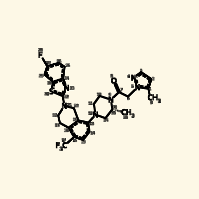 Cc1ccnn1CC(=O)N1CCN(c2ccc(C(F)(F)F)c3c2CN(c2nc4ccc(F)cc4s2)CC3)C[C@H]1C